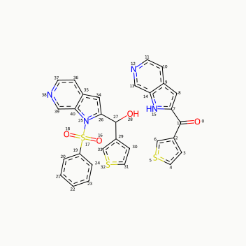 O=C(c1ccsc1)c1cc2ccncc2[nH]1.O=S(=O)(c1ccccc1)n1c(C(O)c2ccsc2)cc2ccncc21